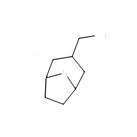 Cl.OCC1CC2CCC(C1)N2